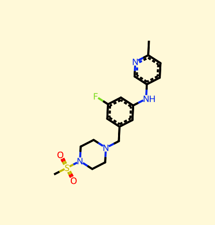 Cc1ccc(Nc2cc(F)cc(CN3CCN(S(C)(=O)=O)CC3)c2)cn1